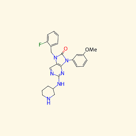 COc1cccc(-n2c(=O)n(Cc3ccccc3F)c3cnc(NC4CCCNC4)nc32)c1